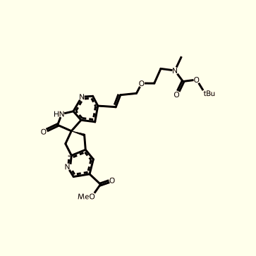 COC(=O)c1cnc2c(c1)C[C@@]1(C2)C(=O)Nc2ncc(/C=C/COCCN(C)C(=O)OC(C)(C)C)cc21